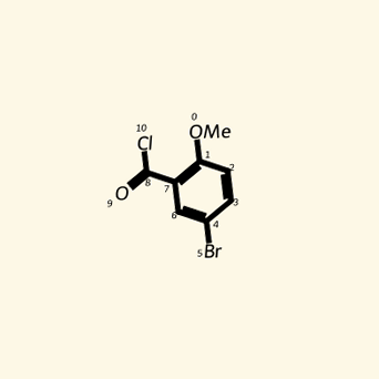 COc1ccc(Br)cc1C(=O)Cl